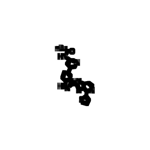 CCCCC(=O)Nc1cncc(-c2ccc3[nH]nc(-c4nc5c(-c6cccs6)nccc5[nH]4)c3c2)c1